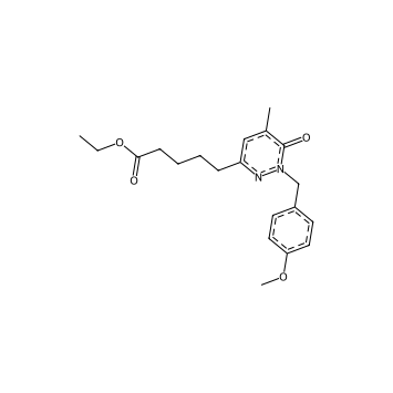 CCOC(=O)CCCCc1cc(C)c(=O)n(Cc2ccc(OC)cc2)n1